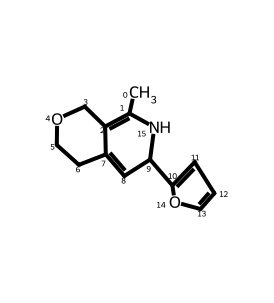 CC1=C2COCCC2=CC(c2ccco2)N1